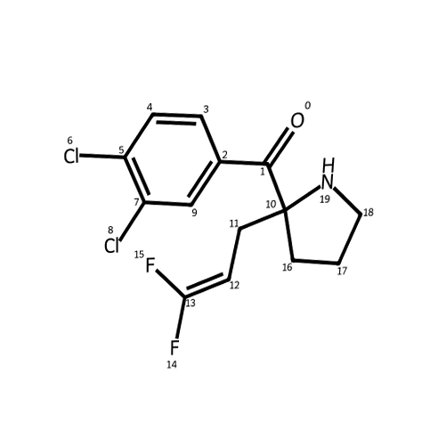 O=C(c1ccc(Cl)c(Cl)c1)C1(CC=C(F)F)CCCN1